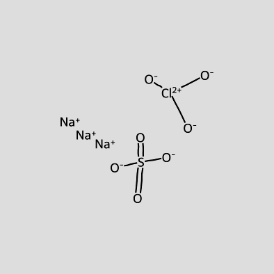 O=S(=O)([O-])[O-].[Na+].[Na+].[Na+].[O-][Cl+2]([O-])[O-]